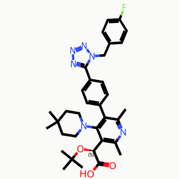 Cc1nc(C)c([C@H](OC(C)(C)C)C(=O)O)c(N2CCC(C)(C)CC2)c1-c1ccc(-c2nnnn2Cc2ccc(F)cc2)cc1